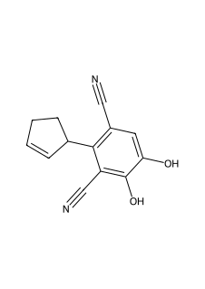 N#Cc1cc(O)c(O)c(C#N)c1C1C=CCC1